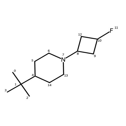 CC(C)(C)C1CCN(C2CC(F)C2)CC1